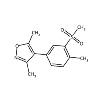 Cc1ccc(-c2c(C)noc2C)cc1S(C)(=O)=O